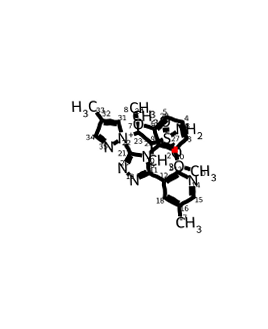 COc1cccc(OC)c1-n1c(-c2cncc(C)c2)nnc1[N+]1([C@@H](C)[C@H](C)S(N)(=O)=O)C=C(C)C=N1